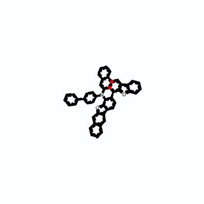 c1ccc(-c2ccc(N(c3ccc4ccccc4c3)c3c(-c4cccc5c4oc4ccccc45)ccc4c3oc3cc5ccccc5cc34)cc2)cc1